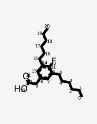 CCCCCCc1cc(CC(=O)O)cc(CCCCCC)c1F